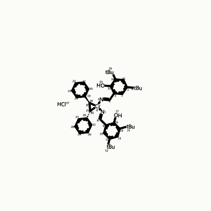 CC(C)(C)c1cc(C=[N][Cr]2([N]=Cc3cc(C(C)(C)C)cc(C(C)(C)C)c3O)[C@H](c3ccccc3)[C@H]2c2ccccc2)c(O)c(C(C)(C)C)c1.Cl